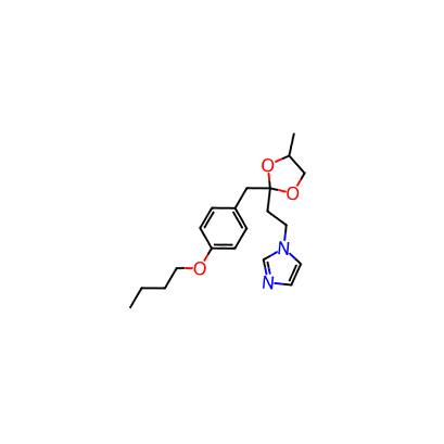 CCCCOc1ccc(CC2(CCn3ccnc3)OCC(C)O2)cc1